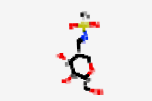 O=S(=O)(/N=C/C1CO[C@H](CO)[C@H](O)[C@@H]1O)C(F)(F)F